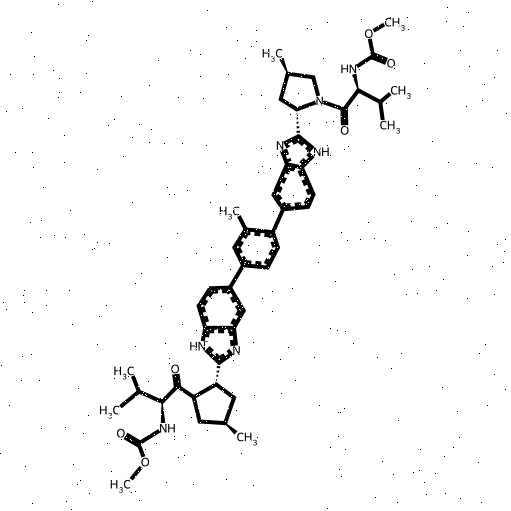 COC(=O)N[C@H](C(=O)C1C[C@H](C)C[C@H]1c1nc2cc(-c3ccc(-c4ccc5[nH]c([C@@H]6C[C@@H](C)CN6C(=O)[C@@H](NC(=O)OC)C(C)C)nc5c4)c(C)c3)ccc2[nH]1)C(C)C